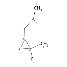 COCC1CC1(C)F